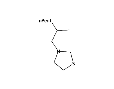 CCCCCC(C)CN1CCSC1